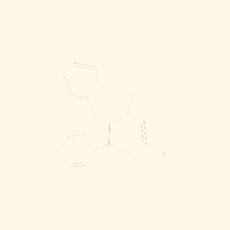 Cc1cc(N)cc2c3c(n(-c4ccccc4)c12)CCC=C3